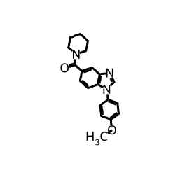 COc1ccc(-n2cnc3cc(C(=O)N4CCCCC4)ccc32)cc1